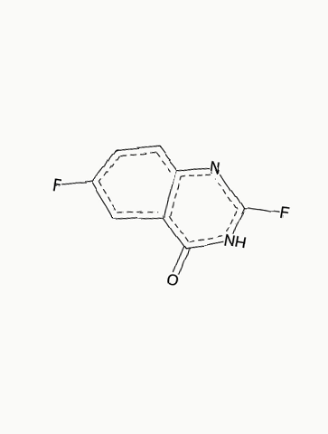 O=c1[nH]c(F)nc2ccc(F)cc12